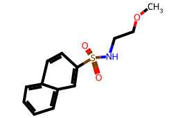 COCCNS(=O)(=O)c1ccc2ccccc2c1